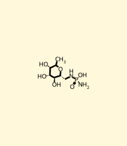 CC1O[C@H](CNP(N)(=O)O)[C@@H](O)[C@H](O)[C@@H]1O